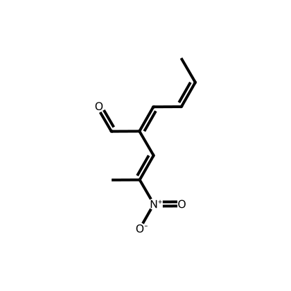 C\C=C/C=C(C=O)\C=C(/C)[N+](=O)[O-]